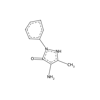 Cc1[nH]n(-c2ccccc2)c(=O)c1N